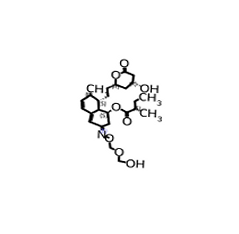 CC[C@H](C)C(=O)O[C@H]1C/C(=N\OCOCO)C=C2C=C[C@H](C)[C@H](CC[C@@H]3C[C@@H](O)CC(=O)O3)C21